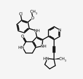 COc1c(Cl)cccc1Nc1c(-c2ccncc2C#C[C@]2(C)CCCN2)[nH]c2c1C(=O)NCC2